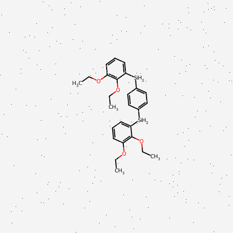 CCOc1cccc([SiH2]c2ccc([SiH2]c3cccc(OCC)c3OCC)cc2)c1OCC